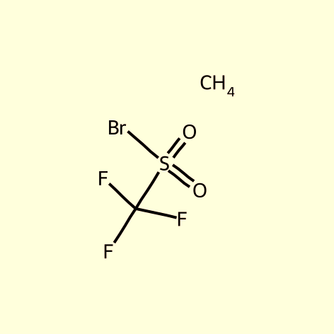 C.O=S(=O)(Br)C(F)(F)F